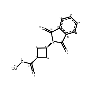 CC(C)(C)OC(=O)[C@H]1C[C@@H](N2C(=O)c3ccccc3C2=O)C1